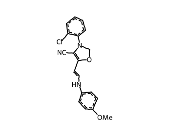 COc1ccc(NC=CC2=C(C#N)N(c3ccccc3Cl)CO2)cc1